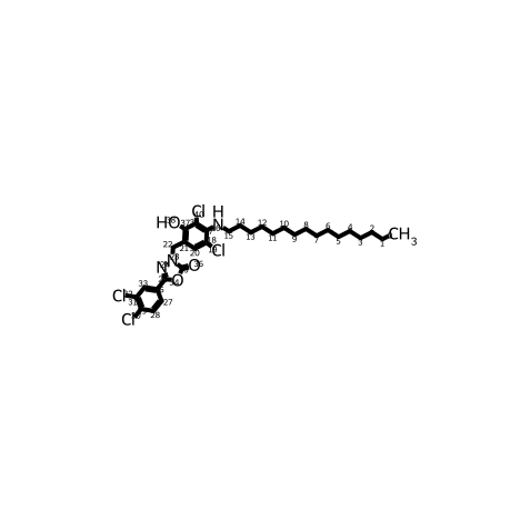 CCCCCCCCCCCCCCCCNc1c(Cl)cc(Cn2nc(-c3ccc(Cl)c(Cl)c3)oc2=O)c(O)c1Cl